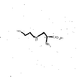 N[C@@H](CNCCO)C(=O)O